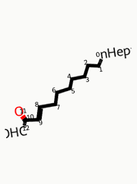 CCCCCCCCCCCCCCC=CC(=O)C=O